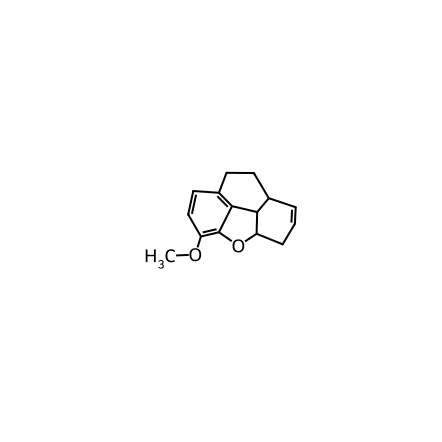 COc1ccc2c3c1OC1CC=CC(CC2)C31